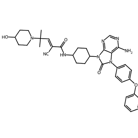 CC(C)(/C=C(\C#N)C(=O)NC1CCC(n2c(=O)n(-c3ccc(Oc4ccccc4)cc3)c3c(N)ncnc32)CC1)N1CCC(O)CC1